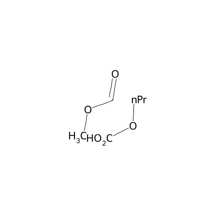 CCCOC(=O)O.COC=O